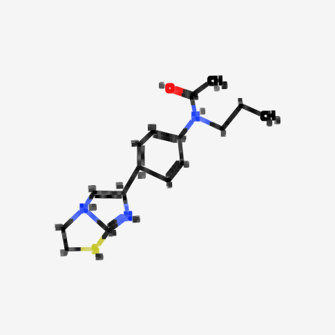 CCCN(C(C)=O)c1ccc(-c2cn3c(n2)SCC3)cc1